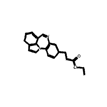 CCOC(=O)CCC1C=CC2=C(C1)N=CC1=CCCc3ccn2c31